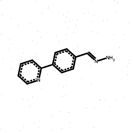 NN=Cc1ccc(-c2ccccn2)cc1